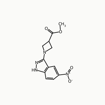 COC(=O)C1CN(c2n[nH]c3ccc([N+](=O)[O-])cc23)C1